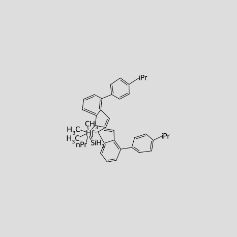 CC[CH2][Hf]([CH3])([CH3])([CH3])(=[SiH2])([CH]1C=Cc2c(-c3ccc(C(C)C)cc3)cccc21)[CH]1C=Cc2c(-c3ccc(C(C)C)cc3)cccc21